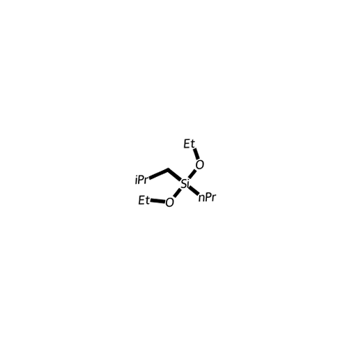 CCC[Si](CC(C)C)(OCC)OCC